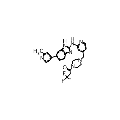 Cc1cc(-c2ccc3nc(Nc4cc(CN5CCN(C(=O)CC(F)(F)F)CC5)ccn4)[nH]c3c2)ccn1